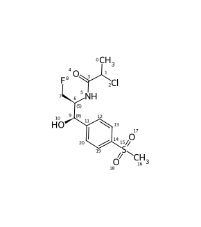 CC(Cl)C(=O)N[C@H](CF)[C@H](O)c1ccc(S(C)(=O)=O)cc1